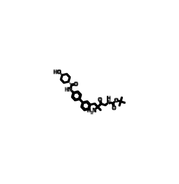 CC(C)(C)OC(=O)NCC(=O)C(C)(N)Cc1cccc(-c2ccc(NC(=O)[C@H]3CC[C@@H](O)CC3)cc2)c1